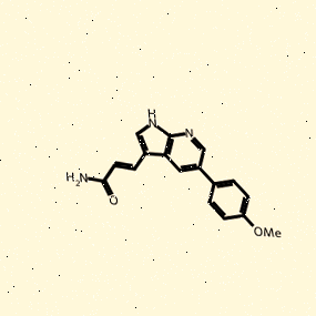 COc1ccc(-c2cnc3[nH]cc(C=CC(N)=O)c3c2)cc1